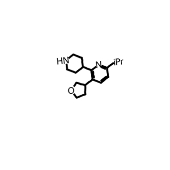 CC(C)c1ccc(C2CCOC2)c(C2CCNCC2)n1